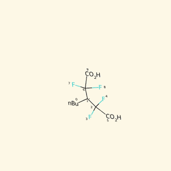 CCCC[C](C(F)(F)C(=O)O)C(F)(F)C(=O)O